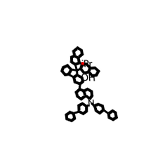 CC(C)c1c(C2(c3ccc4ccccc4c3O)c3ccccc3-c3cc(-c4cccc5c(N(c6ccc(-c7ccccc7)cc6)c6ccc(-c7ccccc7)cc6)cccc45)ccc32)ccc2ccccc12